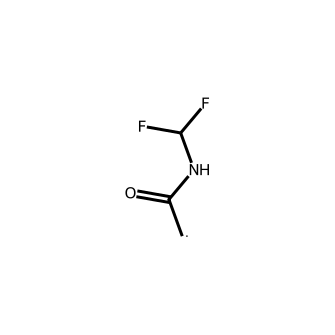 [CH2]C(=O)NC(F)F